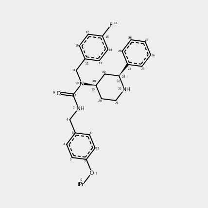 CC(C)Oc1ccc(CNC(=O)N(Cc2ccc(F)cc2)[C@@H]2CCN[C@H](c3ccccc3)C2)cc1